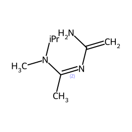 C=C(N)/N=C(/C)N(C)C(C)C